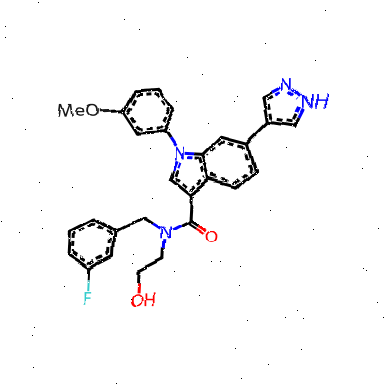 COc1cccc(-n2cc(C(=O)N(CCO)Cc3cccc(F)c3)c3ccc(-c4cn[nH]c4)cc32)c1